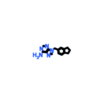 Nc1ncnc2c1ncn2Cc1ccc2c(c1)CCC2